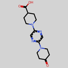 O=C1CCN(c2cnc(N3CCC(C(=O)O)CC3)cn2)CC1